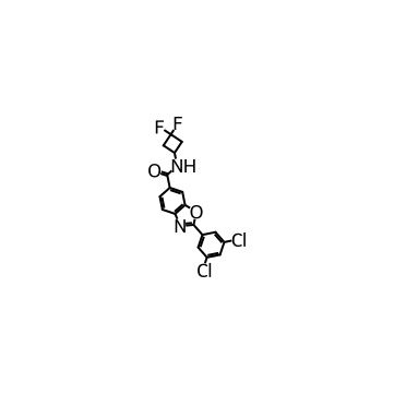 O=C(NC1CC(F)(F)C1)c1ccc2nc(-c3cc(Cl)cc(Cl)c3)oc2c1